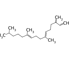 C=CC(=C)CCC=C(C)CC/C=C(\C)CCCC(C)C